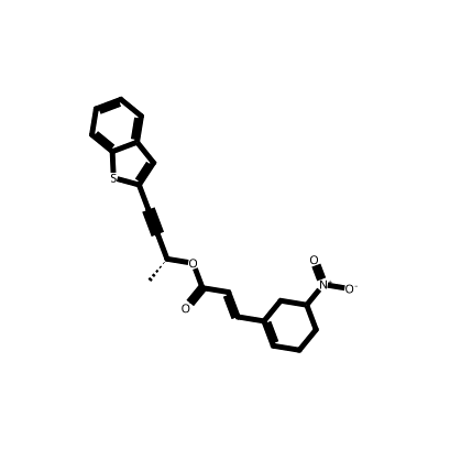 C[C@H](C#Cc1cc2ccccc2s1)OC(=O)/C=C/C1=CCCC([N+](=O)[O-])C1